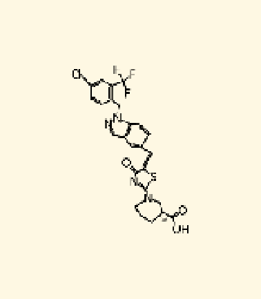 O=C1N=C(N2CCC[C@H](C(=O)O)C2)SC1=Cc1ccc2c(cnn2Cc2ccc(Cl)cc2C(F)(F)F)c1